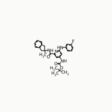 CC1(NC(=O)c2cc(NC(=O)OC(C)(C)C)cc(Nc3cccc(F)c3)n2)Cc2ccccc2C1